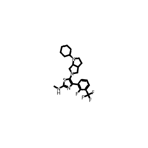 CNc1nc(-c2cccc(C(F)(F)F)c2F)c(N2CC3CCN(C4CCCCC4)C3C2)s1